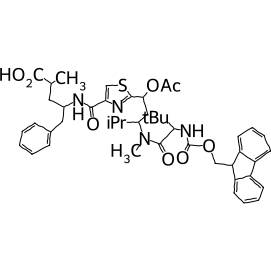 CC(=O)OC(CC(C(C)C)N(C)C(=O)C(NC(=O)OCC1c2ccccc2-c2ccccc21)C(C)(C)C)c1nc(C(=O)NC(Cc2ccccc2)CC(C)C(=O)O)cs1